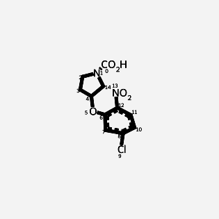 O=C(O)N1CCC(Oc2cc(Cl)ccc2[N+](=O)[O-])C1